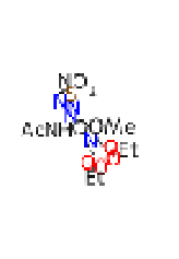 CCC(=O)OCCN(CCOC(=O)CC)c1cc(NC(C)=O)c(N=Nc2ncc([N+](=O)[O-])s2)cc1OC